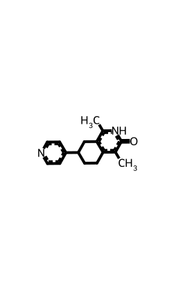 Cc1[nH]c(=O)c(C)c2c1CC(c1ccncc1)CC2